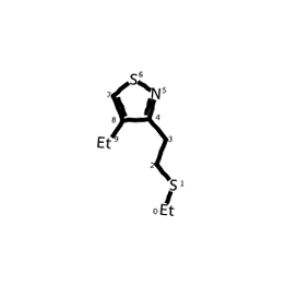 CCSCCc1nscc1CC